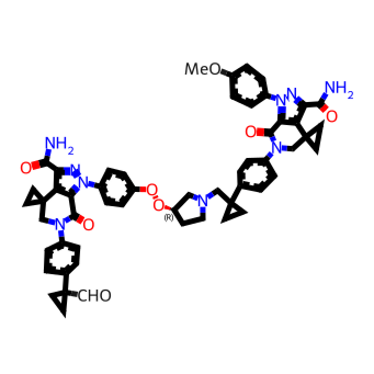 COc1ccc(-n2nc(C(N)=O)c3c2C(=O)N(c2ccc(C4(CN5CC[C@@H](OOc6ccc(-n7nc(C(N)=O)c8c7C(=O)N(c7ccc(C9(C=O)CC9)cc7)CC87CC7)cc6)C5)CC4)cc2)CC32CC2)cc1